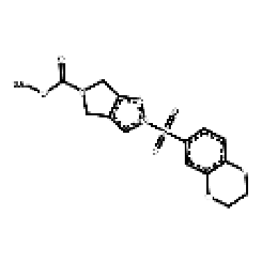 CC(C)(C)OC(=O)N1Cc2cn(S(=O)(=O)c3ccc4c(c3)OCCO4)nc2C1